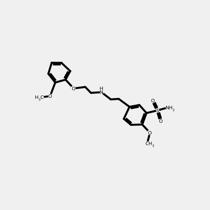 COc1ccccc1OCCNCCc1ccc(OC)c(S(N)(=O)=O)c1